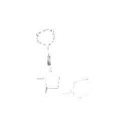 CN1C(=O)C(CN2CCCCC2)CC1C#Cc1ccccc1